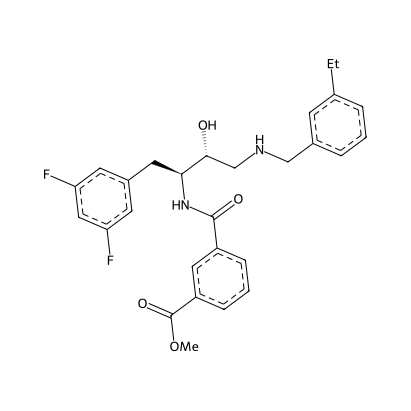 CCc1cccc(CNC[C@@H](O)[C@H](Cc2cc(F)cc(F)c2)NC(=O)c2cccc(C(=O)OC)c2)c1